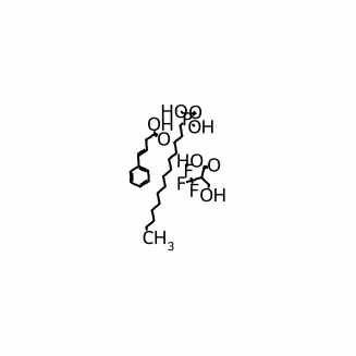 CCCCCCCCCCCCCCP(=O)(O)O.O=C(O)C(CO)C(F)(F)F.O=C(O)C/C=C/c1ccccc1